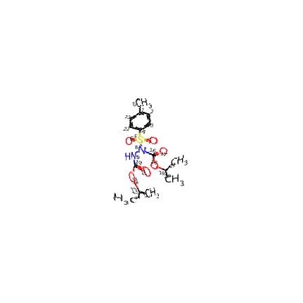 Cc1ccc(S(=O)(=O)N(NC(=O)OC(C)C)C(=O)OC(C)C)cc1